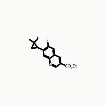 CCOC(=O)c1cnc2cc(C3CC3(C)F)c(F)cc2c1